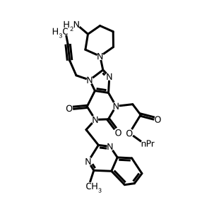 CC#CCn1c(N2CCCC(N)C2)nc2c1c(=O)n(Cc1nc(C)c3ccccc3n1)c(=O)n2CC(=O)OCCC